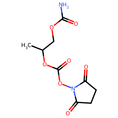 CC(COC(N)=O)OC(=O)ON1C(=O)CCC1=O